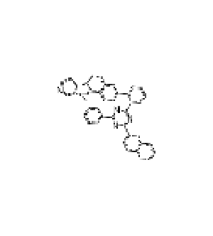 c1ccc(-c2nc(-c3ccc4ccccc4c3)nc(-c3ccccc3-c3ccc4c(ccc5c6ccncc6sc45)c3)n2)cc1